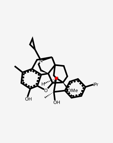 CO[C@]12CCC3(C[C@@H]1[C@](C)(O)c1ccc(C(C)C)cc1)C1Cc4c(C)cc(O)c5c4[C@@]3(CCN1C1CC1)[C@@H]2O5